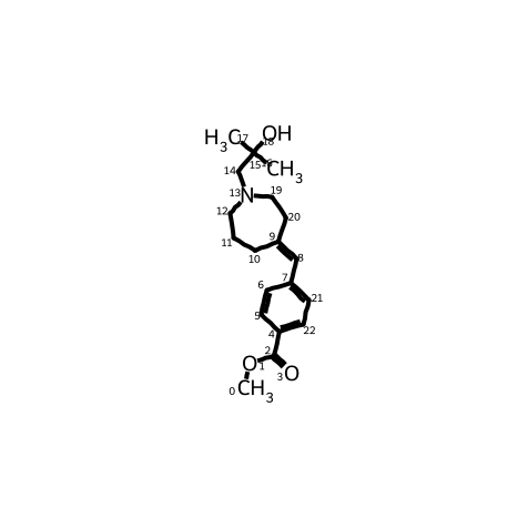 COC(=O)c1ccc(C=C2CCCN(CC(C)(C)O)CC2)cc1